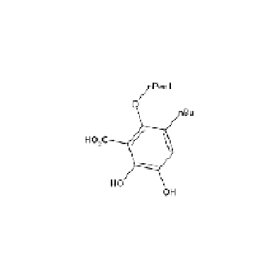 CCCCCOc1c(CCCC)cc(O)c(O)c1C(=O)O